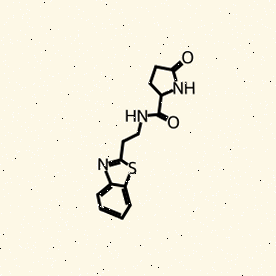 O=C1CCC(C(=O)NCCc2nc3ccccc3s2)N1